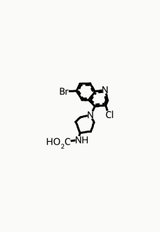 O=C(O)NC1CCN(c2c(Cl)cnc3ccc(Br)cc23)CC1